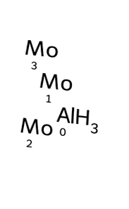 [AlH3].[Mo].[Mo].[Mo]